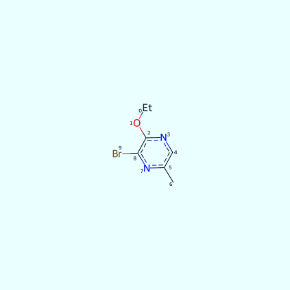 CCOc1ncc(C)nc1Br